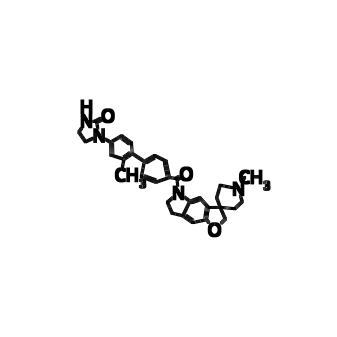 Cc1cc(N2CCNC2=O)ccc1-c1ccc(C(=O)N2CCc3cc4c(cc32)C2(CCN(C)CC2)CO4)cc1